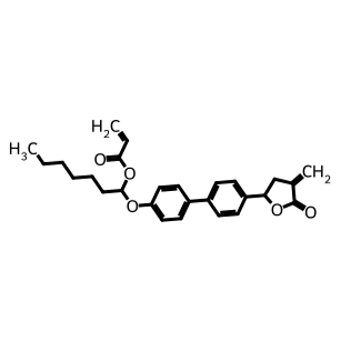 C=CC(=O)OC(CCCCCC)Oc1ccc(-c2ccc(C3CC(=C)C(=O)O3)cc2)cc1